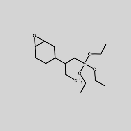 CCO[Si](CC(CN)C1CCC2OC2C1)(OCC)OCC